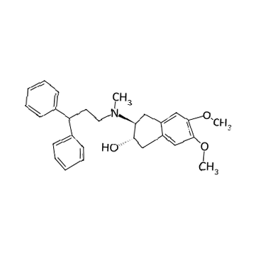 COc1cc2c(cc1OC)C[C@H](N(C)CCC(c1ccccc1)c1ccccc1)[C@@H](O)C2